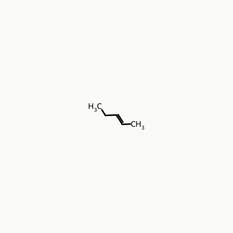 C/C=[C]/CC